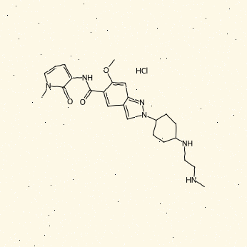 CNCCNC1CCC(n2cc3cc(C(=O)Nc4cccn(C)c4=O)c(OC)cc3n2)CC1.Cl